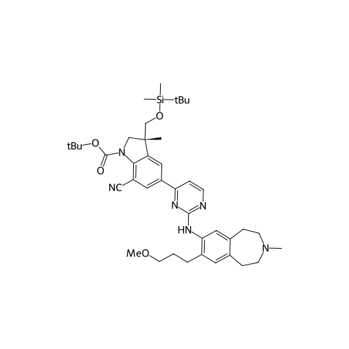 COCCCc1cc2c(cc1Nc1nccc(-c3cc(C#N)c4c(c3)[C@@](C)(CO[Si](C)(C)C(C)(C)C)CN4C(=O)OC(C)(C)C)n1)CCN(C)CC2